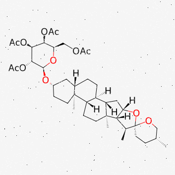 CC(=O)OC[C@H]1O[C@@H](O[C@H]2CC[C@@]3(C)[C@@H](CC[C@@H]4[C@@H]3CC[C@]3(C)[C@@H]5[C@H](C[C@@H]43)O[C@]3(CC[C@@H](C)CO3)[C@H]5C)C2)[C@H](OC(C)=O)[C@@H](OC(C)=O)[C@H]1OC(C)=O